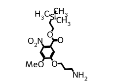 COc1cc([N+](=O)[O-])c(C(=O)OCC[Si](C)(C)C)cc1OCCCN